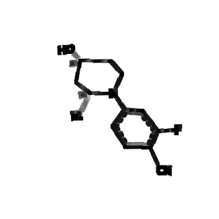 CC[C@@H]1C[C@H](O)CCN1c1ccc(C#N)c(F)c1